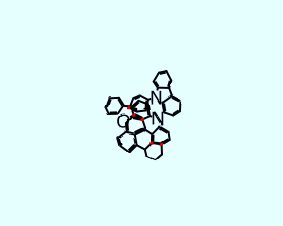 c1ccc(-n2c3ccccc3c3cccc(N(c4ccc5c(c4)oc4ccccc45)c4ccccc4-c4cccc5cccc(C6CCCCC6)c45)c32)cc1